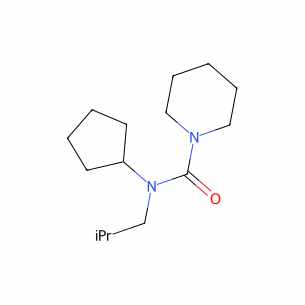 CC(C)CN(C(=O)N1CCCCC1)C1CCCC1